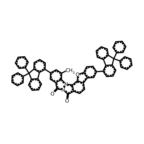 Cc1cc(-c2cccc3c2-c2ccccc2C3(c2ccccc2)c2ccccc2)cc2c(=O)n3c(=O)c4ccc5c6cc(-c7cccc8c7-c7ccccc7C8(c7ccccc7)c7ccccc7)ccc6oc5c4n3c12